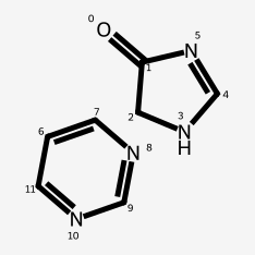 O=C1CNC=N1.c1cncnc1